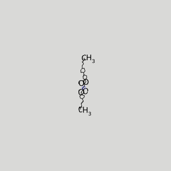 CCCCCC1CCC(OC(=O)/C=C/C(=O)OC2CCC(C3CCC(CCCCC)CC3)CC2)CC1